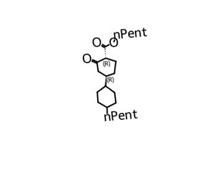 CCCCCOC(=O)[C@@H]1CC[C@@H](C2CCC(CCCCC)CC2)CC1=O